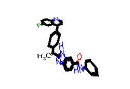 C[C@@H](c1nc2ccc(C(=O)NC3CCCCC3)cc2[nH]1)C1CCC(c2ccnc3ccc(F)cc23)CC1